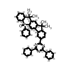 CC1(C)c2ccc(-c3nc(-c4ccccc4)nc(-c4ccccc4)n3)cc2-c2cc3c(cc21)C(C)(C)c1ccccc1P3(=O)c1ccccc1